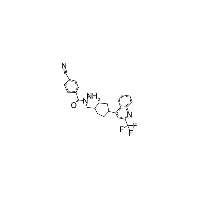 N#Cc1ccc(C(=O)N(N)CC2CCC(c3cc(C(F)(F)F)nc4ccccc34)CC2)cc1